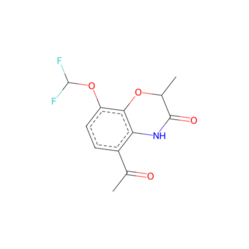 CC(=O)c1ccc(OC(F)F)c2c1NC(=O)C(C)O2